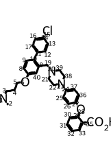 CN(C)CCCOc1ccc(-c2ccc(Cl)cc2)c(CN2CCN(c3ccc(Oc4ccccc4C(=O)O)cc3)CC2)c1